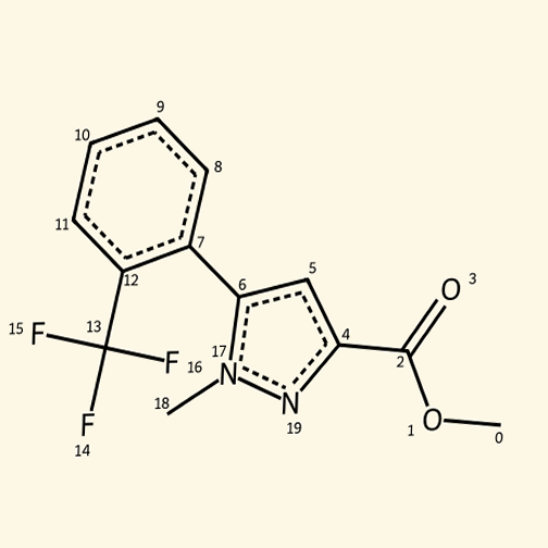 COC(=O)c1cc(-c2ccccc2C(F)(F)F)n(C)n1